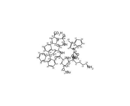 CC(C)(C)OC(=O)C[C@H](NC(=O)[C@@H](N)CCCCN)C(=O)N[C@@H](CSC(c1ccccc1)(c1ccccc1)c1ccccc1)C(=O)N[C@@H](Cc1cn(C(=O)OC(C)(C)C)c2ccccc12)C(=O)N1CCC[C@H]1C(=O)O